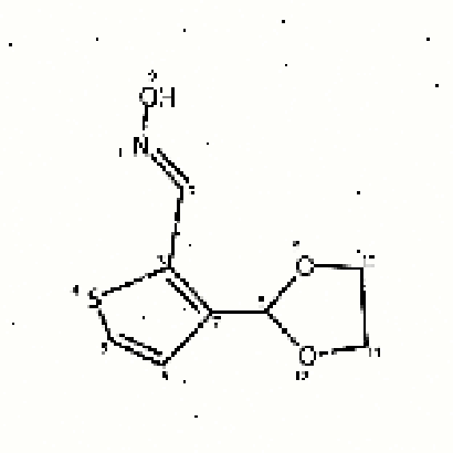 ON=Cc1sccc1C1OCCO1